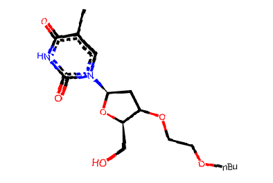 CCCCOCCOC1C[C@H](n2cc(C)c(=O)[nH]c2=O)O[C@@H]1CO